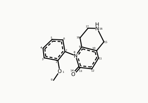 COc1ccccc1-n1c2c(ccc1=O)CNCC2